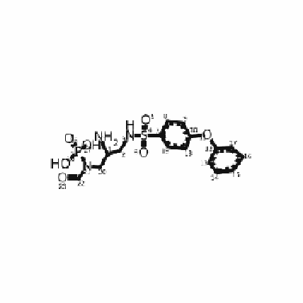 NC(CNS(=O)(=O)c1ccc(Oc2ccccc2)cc1)CN(C=O)P(=O)(O)O